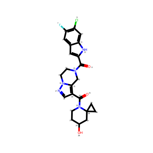 O=C(c1cc2cc(F)c(Cl)cc2[nH]1)N1CCn2ncc(C(=O)N3CCC(O)CC34CC4)c2C1